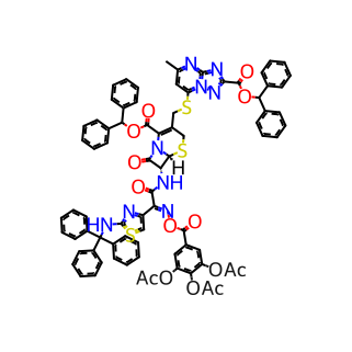 CC(=O)Oc1cc(C(=O)ON=C(C(=O)N[C@@H]2C(=O)N3C(C(=O)OC(c4ccccc4)c4ccccc4)=C(CSc4cc(C)nc5nc(C(=O)OC(c6ccccc6)c6ccccc6)nn45)CS[C@H]23)c2csc(NC(c3ccccc3)(c3ccccc3)c3ccccc3)n2)cc(OC(C)=O)c1OC(C)=O